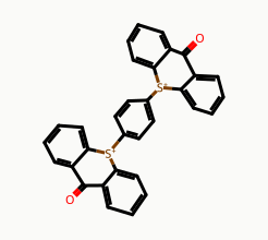 O=c1c2ccccc2[s+](-c2ccc(-[s+]3c4ccccc4c(=O)c4ccccc43)cc2)c2ccccc12